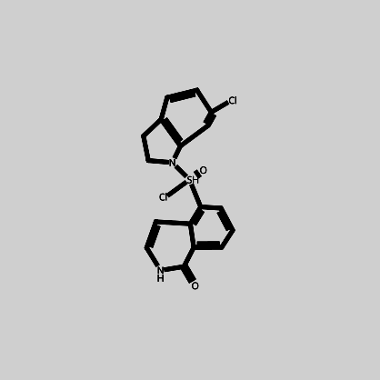 O=c1[nH]ccc2c([SH](=O)(Cl)N3CCc4ccc(Cl)cc43)cccc12